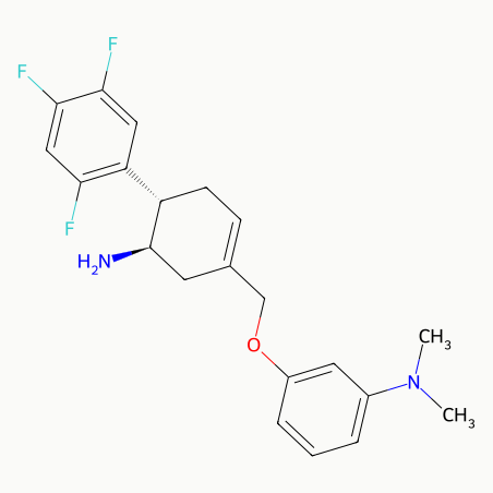 CN(C)c1cccc(OCC2=CC[C@@H](c3cc(F)c(F)cc3F)[C@H](N)C2)c1